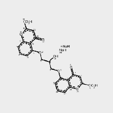 O=C(O)c1cc(=O)c2c(OCC(O)COc3cccc4oc(C(=O)O)cc(=O)c34)cccc2o1.[NaH].[NaH]